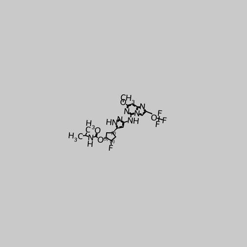 COc1cc2nc(COC(F)(F)F)cn2c(Nc2cc([C@H]3C[C@@H](F)[C@@H](OC(=O)NC(C)C)C3)[nH]n2)n1